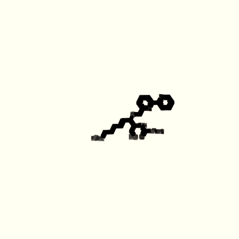 CCCCCCCCCCCCC/C=C/[C@@H](OCc1cccc(-c2ccccn2)n1)C(CO)NC(=O)CCCCC